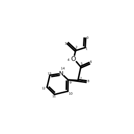 C=CC(=C)OC(=C)C(=C)c1ccccn1